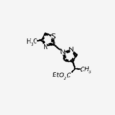 CCOC(=O)C(C)c1cnn(-c2nc(C)cs2)c1